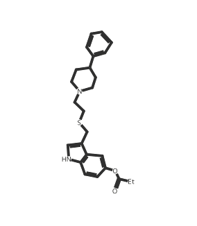 CCC(=O)Oc1ccc2[nH]cc(CSCCN3CCC(c4ccccc4)CC3)c2c1